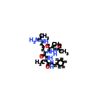 C=C(N)NCCC[C@H](NC(=O)[C@H](C)NC(C)=O)C(=O)N[C@@H](C)C(=O)NCc1ccccc1